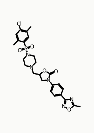 Cc1nc(-c2ccc(N3CC(CN4CCN(S(=O)(=O)c5cc(C)c(Cl)cc5C)CC4)OC3=O)cc2)no1